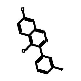 Fc1cccc(-c2ncc3cc(Cl)ccc3c2Cl)c1